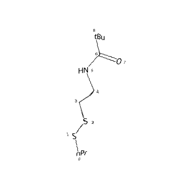 CCCSSCCNC(=O)C(C)(C)C